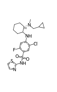 CN(CC1CC1)[C@H]1CCCCC1Nc1cc(F)c(S(=O)(=O)Nc2nccs2)cc1Cl